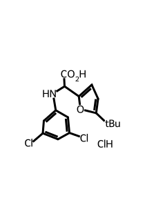 CC(C)(C)c1ccc(C(Nc2cc(Cl)cc(Cl)c2)C(=O)O)o1.Cl